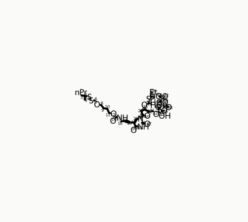 CCCC(C)(C)SSCOCCCCOC(=O)NCC#Cc1cn([C@H]2C[C@H](OCSSCC)[C@@H](COP(=O)(O)OP(=O)(O)OP(=O)(O)O)O2)c(=O)[nH]c1=O